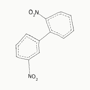 O=[N+]([O-])c1cccc(-c2ccccc2[N+](=O)[O-])c1